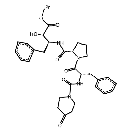 CC(C)OC(=O)[C@H](O)[C@H](Cc1ccccc1)NC(=O)[C@@H]1CCCN1C(=O)[C@H](Cc1ccccc1)NC(=O)N1CCC(=O)CC1